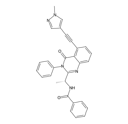 C[C@@H](NC(=O)c1ccccc1)c1nc2cccc(C#Cc3cnn(C)c3)c2c(=O)n1-c1ccccc1